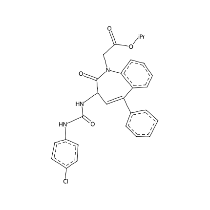 CC(C)OC(=O)CN1C(=O)C(NC(=O)Nc2ccc(Cl)cc2)C=C(c2ccccc2)c2ccccc21